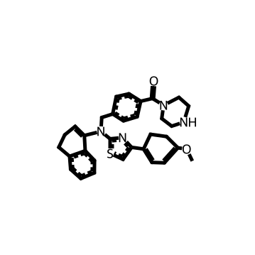 COC1=CC=C(c2csc(N(Cc3ccc(C(=O)N4CCNCC4)cc3)C3=CCCc4ccccc43)n2)CC1